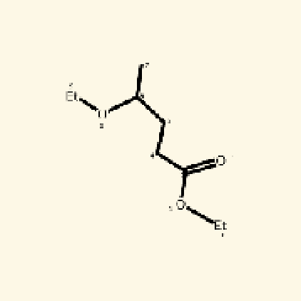 CCOC(=O)CCC(C)OCC